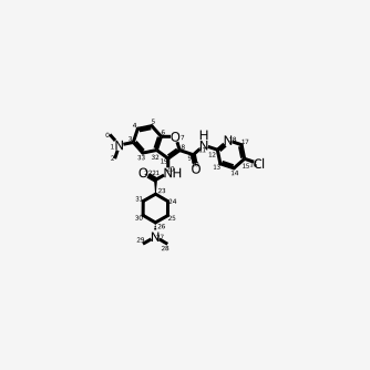 CN(C)c1ccc2oc(C(=O)Nc3ccc(Cl)cn3)c(NC(=O)[C@H]3CC[C@H](N(C)C)CC3)c2c1